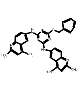 Cc1cc(N)c2cc(Nc3nc(Nc4ccc5nc(C)cc(N)c5c4)nc(OCc4ccccc4)n3)ccc2n1